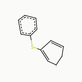 [CH]1C=C(Sc2ccccc2)C=CC1